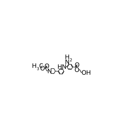 COC(=O)CN1CCC(c2cccc(Nc3ccc(C(=O)OCCO)cc3N)c2)CC1